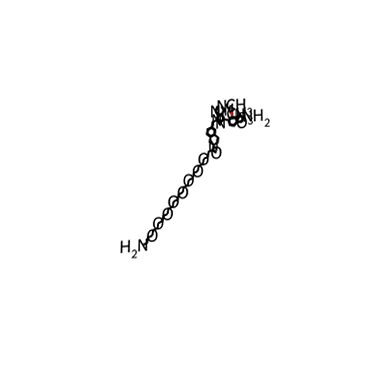 CN(C)c1ncnc2c1c(-c1ccc3oc(N)nc3c1)nn2Cc1ccc2c(c1)CCN(C(=O)CCOCCOCCOCCOCCOCCOCCOCCOCCN)C2